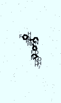 Nc1nccc(Oc2ccc(Nc3ncccc3C(=O)Nc3ccc(F)cc3F)cc2F)c1CO